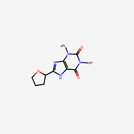 CCCn1c(=O)c2[nH]c(C3CCCO3)nc2n(CCC)c1=O